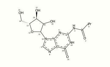 CC(C)C(=O)Nc1nc2c(ncn2C2O[C@H](CO)[C@@H](O)C2O)c(=O)[nH]1